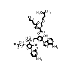 C=CCCC(=O)N[C@@H](CCOCCC(C)C)C(=O)O[C@@H]1C(COP(=O)(O)[C@H]2[C@@H](O)[C@H](n3ccc(N)nc3=O)O[C@@H]2COP(=O)(O)O)O[C@@H](n2cnc3c(N)ncnc32)[C@@H]1O